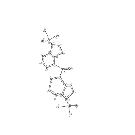 CC(C)[Si](C(C)C)(C(C)C)n1ccc2c(C(=O)c3ncnc4c3ccn4[Si](C(C)C)(C(C)C)C(C)C)ncnc21